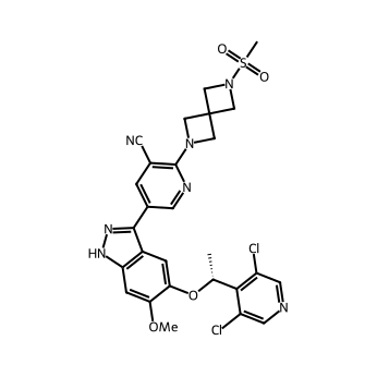 COc1cc2[nH]nc(-c3cnc(N4CC5(C4)CN(S(C)(=O)=O)C5)c(C#N)c3)c2cc1O[C@H](C)c1c(Cl)cncc1Cl